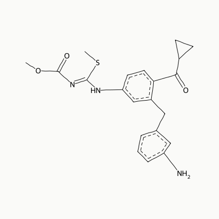 COC(=O)N=C(Nc1ccc(C(=O)C2CC2)c(Cc2cccc(N)c2)c1)SC